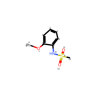 CC(C)Oc1ccccc1NS(C)(=O)=O